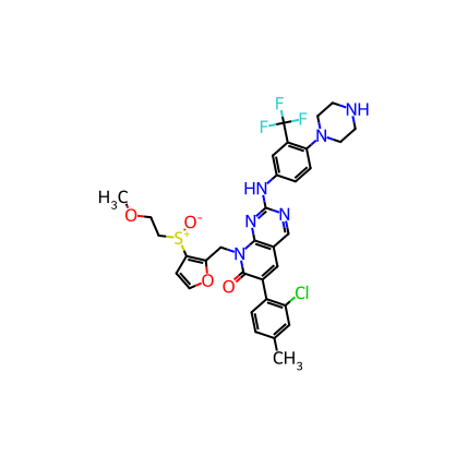 COCC[S+]([O-])c1ccoc1Cn1c(=O)c(-c2ccc(C)cc2Cl)cc2cnc(Nc3ccc(N4CCNCC4)c(C(F)(F)F)c3)nc21